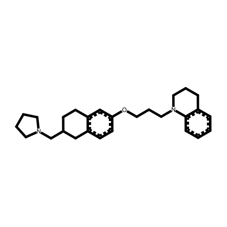 c1ccc2c(c1)CCCN2CCCOc1ccc2c(c1)CCC(CN1CCCC1)C2